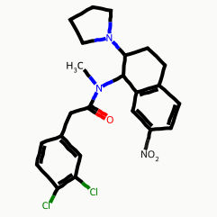 CN(C(=O)Cc1ccc(Cl)c(Cl)c1)C1c2cc([N+](=O)[O-])ccc2CCC1N1CCCC1